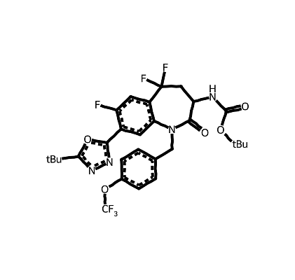 CC(C)(C)OC(=O)NC1CC(F)(F)c2cc(F)c(-c3nnc(C(C)(C)C)o3)cc2N(Cc2ccc(OC(F)(F)F)cc2)C1=O